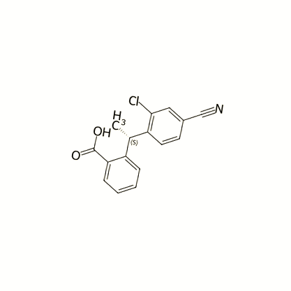 C[C@H](c1ccc(C#N)cc1Cl)c1ccccc1C(=O)O